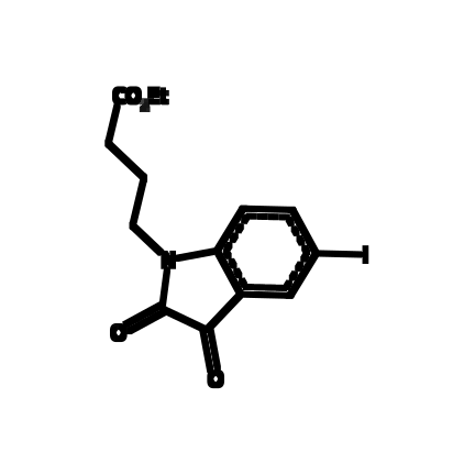 CCOC(=O)CCCN1C(=O)C(=O)c2cc(I)ccc21